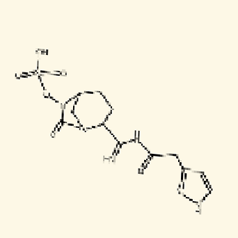 N=C(NC(=O)Cc1cc[nH]n1)C1CCC2CN1C(=O)N2OS(=O)(=O)O